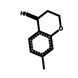 Cc1ccc2c(c1)OCCC2=N